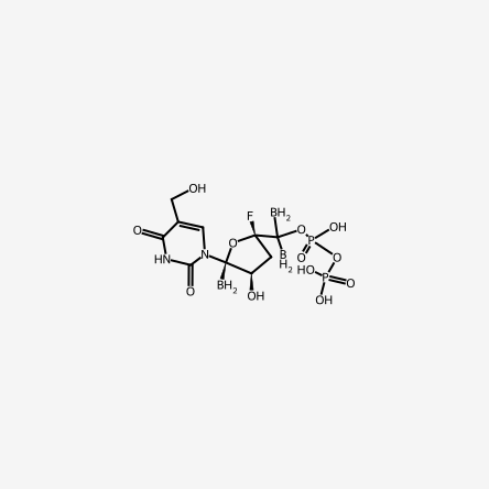 BC(B)(OP(=O)(O)OP(=O)(O)O)[C@]1(F)C[C@@H](O)[C@](B)(n2cc(CO)c(=O)[nH]c2=O)O1